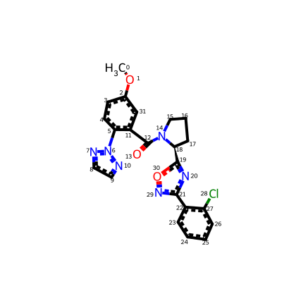 COc1ccc(-n2nccn2)c(C(=O)N2CCC[C@H]2c2nc(-c3ccccc3Cl)no2)c1